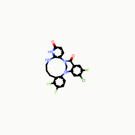 O=C1c2cc(F)c(Cl)cc2N2CN1c1ccc(=O)[nH]c1NCCCc1c2ccc(F)c1F